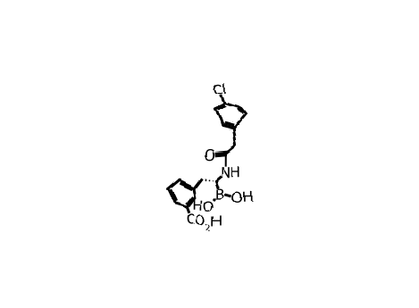 O=C(Cc1ccc(Cl)cc1)N[C@@H](Cc1cccc(C(=O)O)c1)B(O)O